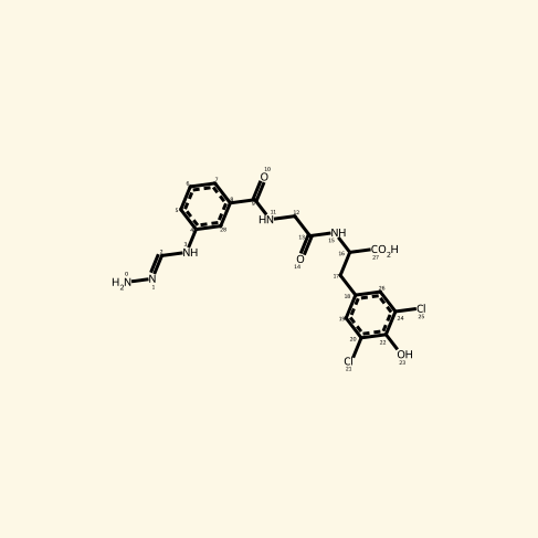 NN=CNc1cccc(C(=O)NCC(=O)NC(Cc2cc(Cl)c(O)c(Cl)c2)C(=O)O)c1